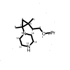 CC(C)OCCC1(C)CC1(C)N1CCNCC1